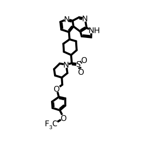 O=S(=O)=C(C1CCC(c2ccnc3cnc4[nH]ccc4c23)CC1)N1CCCC(COc2ccc(OC(F)(F)F)cc2)C1